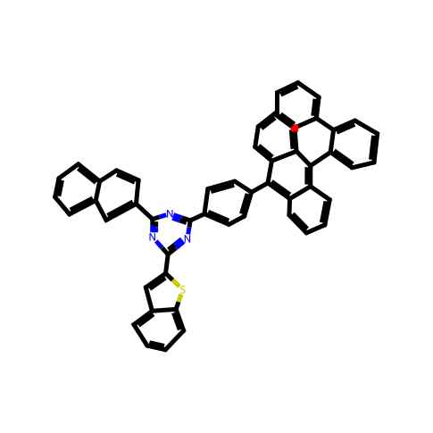 c1ccc(-c2ccccc2-c2c3ccccc3c(-c3ccc(-c4nc(-c5ccc6ccccc6c5)nc(-c5cc6ccccc6s5)n4)cc3)c3ccccc23)cc1